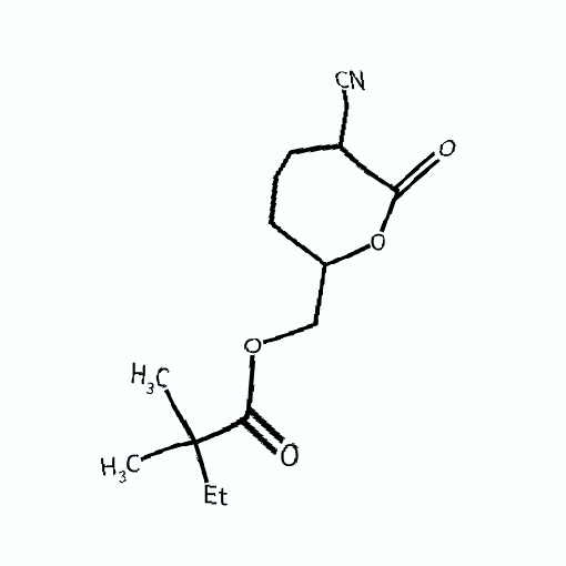 CCC(C)(C)C(=O)OCC1CCC(C#N)C(=O)O1